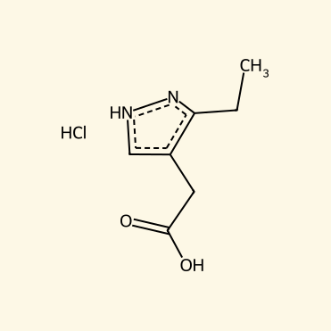 CCc1n[nH]cc1CC(=O)O.Cl